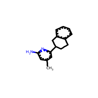 Cc1cc(N)nc(C2CCc3ccccc3C2)c1